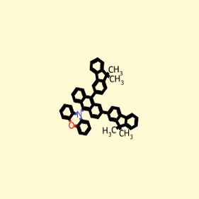 CC1(C)c2ccccc2-c2cc(-c3c4ccccc4c(N4c5ccccc5Oc5ccccc54)c4ccc(-c5ccc6c(c5)C(C)(C)c5ccccc5-6)cc34)ccc21